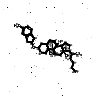 Cc1ccc2c(c1)CC(O[C@@H]1CC[C@]3(C)C(C=C[C@@H]4[C@H]5CC[C@@H]([C@@H](C)CCCC(C)C)[C@]5(C)CC[C@H]43)C1)C2